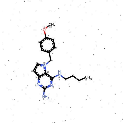 CCCCNc1nc(N)nc2ccn(Cc3ccc(OC)cc3)c12